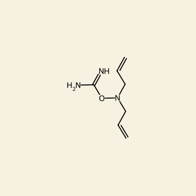 C=CCN(CC=C)OC(=N)N